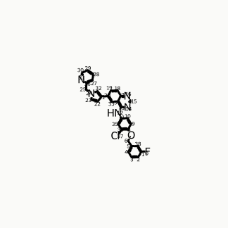 Fc1cccc(COc2ccc(Nc3ncnc4ccc(-c5ccn(Cc6ccccn6)c5)cc34)cc2Cl)c1